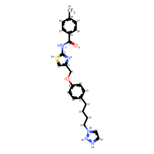 O=C(Nc1nc(COc2ccc(CCCCn3ccnn3)cc2)cs1)c1ccc(C(F)(F)F)cc1